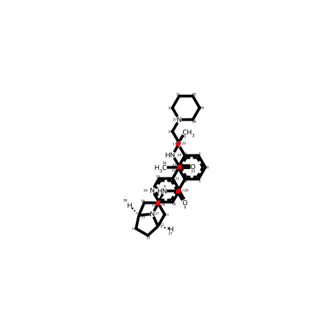 COc1cccc(C(=O)N[C@H]2C[C@H]3CC[C@@H](C2)N3c2ccc(C(=O)NCCN3CCCCC3)cn2)c1C